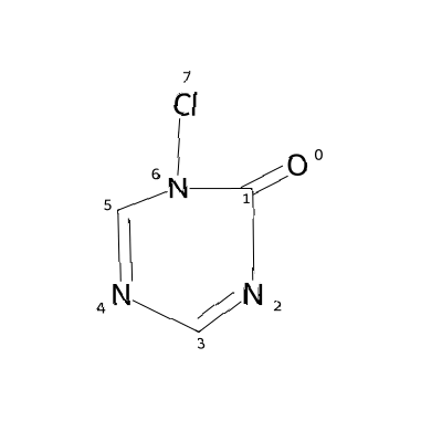 O=c1ncncn1Cl